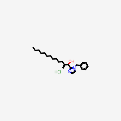 C=C(CCCCCCCCCCC)C(O)c1nccn1Cc1ccccc1.Cl